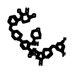 O=C1CCN(c2cccc(CN3CCN(c4ccc(C(=O)Nc5n[nH]c6ccc(Cc7cc(F)cc(F)c7)cc56)c(NC5CCOCC5)c4)CC3)c2)C(=O)N1